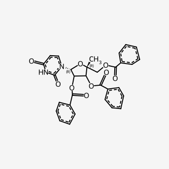 C[C@]1(COC(=O)c2ccccc2)O[C@@H](n2ccc(=O)[nH]c2=O)C(OC(=O)c2ccccc2)C1OC(=O)c1ccccc1